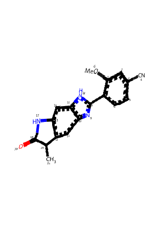 COc1cc(C#N)ccc1-c1nc2cc3c(cc2[nH]1)NC(=O)C3C